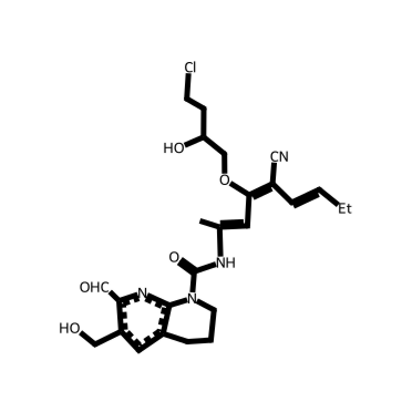 CC/C=C/C(C#N)=C(\C=C(/C)NC(=O)N1CCCc2cc(CO)c(C=O)nc21)OCC(O)CCCl